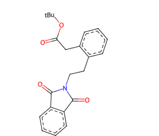 CC(C)(C)OC(=O)Cc1ccccc1CCN1C(=O)c2ccccc2C1=O